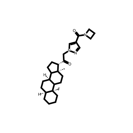 C[C@]12CCC3[C@@H](CC[C@@H]4CCCC[C@]34F)C1CC[C@@H]2C(=O)Cn1cc(C(=O)N2CCC2)cn1